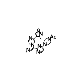 C=N/C=C(/c1nccc(N2CCN(C(C)=O)CC2)n1)N1C=C(c2cn(C)nc2C)N=CC1